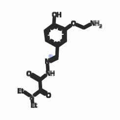 CCN(CC)C(=O)C(=O)N/N=C/c1ccc(O)c(OCN)c1